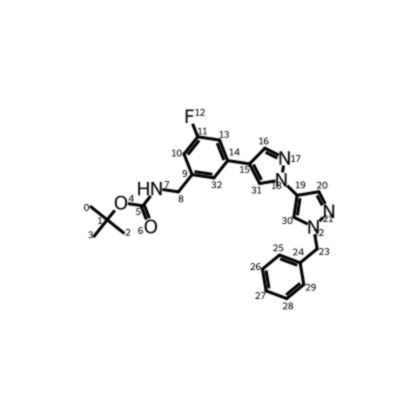 CC(C)(C)OC(=O)NCc1cc(F)cc(-c2cnn(-c3cnn(Cc4ccccc4)c3)c2)c1